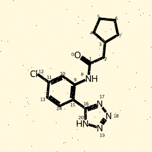 O=C(CC1CCCC1)Nc1cc(Cl)ccc1-c1nnn[nH]1